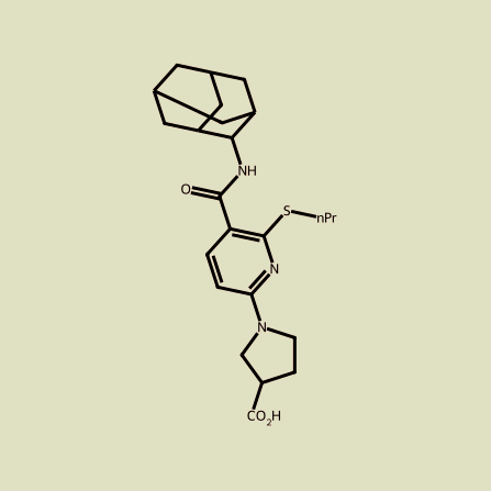 CCCSc1nc(N2CCC(C(=O)O)C2)ccc1C(=O)NC1C2CC3CC(C2)CC1C3